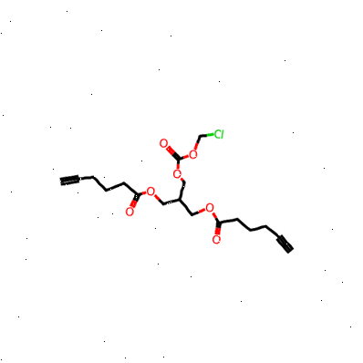 C#CCCCC(=O)OCC(COC(=O)CCCC#C)COC(=O)OCCl